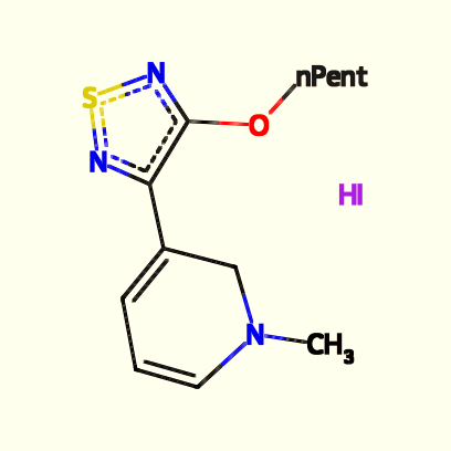 CCCCCOc1nsnc1C1=CC=CN(C)C1.I